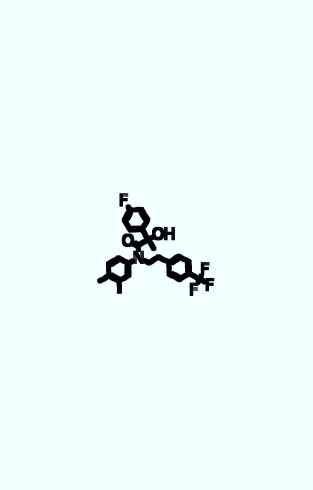 Cc1ccc(N(CCc2ccc(C(F)(F)F)cc2)C(=O)C(C)(O)c2ccc(F)cc2)cc1C